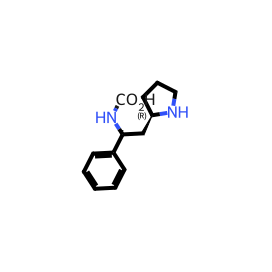 O=C(O)N[C](C[C@H]1CCCN1)c1ccccc1